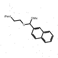 CCCC(C)CCOC(OC)c1ccc2ccccc2c1